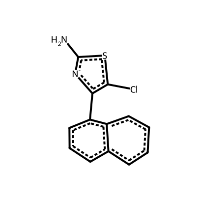 Nc1nc(-c2cccc3ccccc23)c(Cl)s1